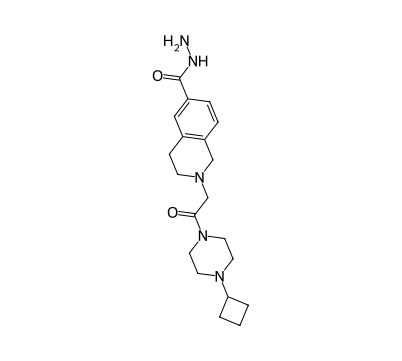 NNC(=O)c1ccc2c(c1)CCN(CC(=O)N1CCN(C3CCC3)CC1)C2